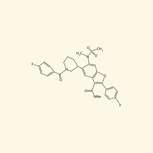 CNC(=O)c1c(-c2ccc(F)cc2)oc2cc(N(C)S(C)(=O)=O)c(C3CCCN(C(=O)c4ccc(F)cc4)C3)cc12